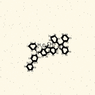 CC1(C)c2cc(N(c3ccccc3)c3ccc(-c4ccccc4)cc3)ccc2-c2ccc(-n3c(-c4ccccc4)c(-c4ccccc4)c4ccccc43)cc21